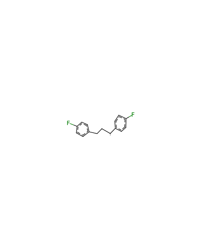 Fc1ccc([CH]CCc2ccc(F)cc2)cc1